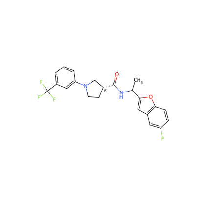 CC(NC(=O)[C@@H]1CCN(c2cccc(C(F)(F)F)c2)C1)c1cc2cc(F)ccc2o1